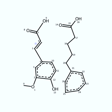 COc1cc(/C=C/C(=O)O)ccc1O.O=C(O)CCCCc1ccccc1